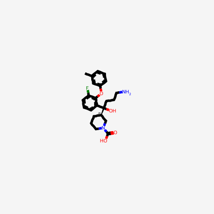 Cc1cccc(Oc2c(F)cccc2C(O)(CCCN)[C@@H]2CCCN(C(=O)O)C2)c1